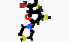 S=c1cc(N2CCSCC2)oc2c(Br)csc12